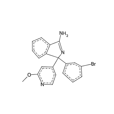 COc1cc(C2(c3cccc(Br)c3)N=C(N)c3ccccc32)ccn1